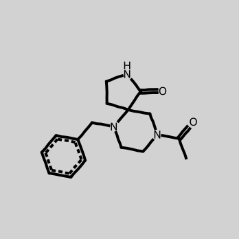 CC(=O)N1CCN(Cc2ccccc2)C2(CCNC2=O)C1